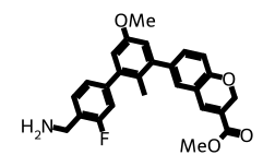 COC(=O)C1=Cc2cc(-c3cc(OC)cc(-c4ccc(CN)c(F)c4)c3C)ccc2OC1